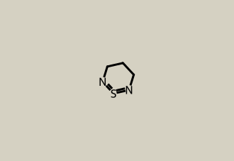 C1CN=S=NC1